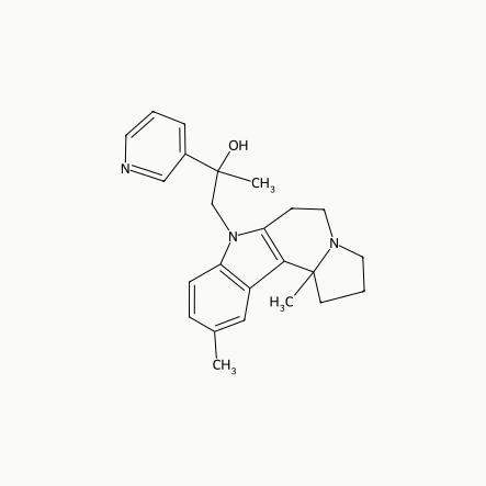 Cc1ccc2c(c1)c1c(n2CC(C)(O)c2cccnc2)CCN2CCCC12C